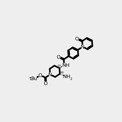 CC(C)(C)OC(=O)N1CC[C@H](NC(=O)c2ccc(-n3ccccc3=O)cc2)[C@H](N)C1